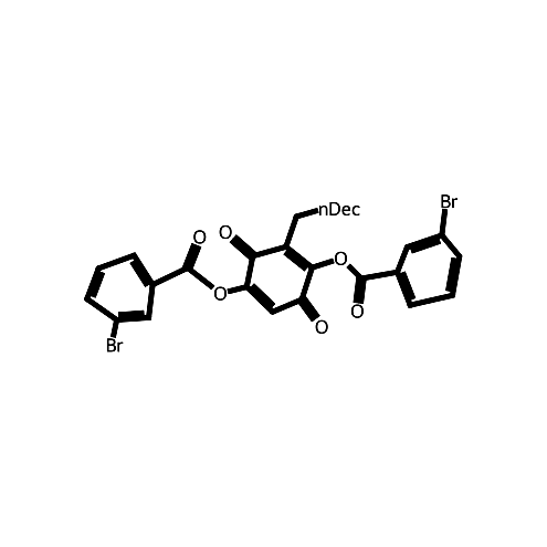 CCCCCCCCCCCC1=C(OC(=O)c2cccc(Br)c2)C(=O)C=C(OC(=O)c2cccc(Br)c2)C1=O